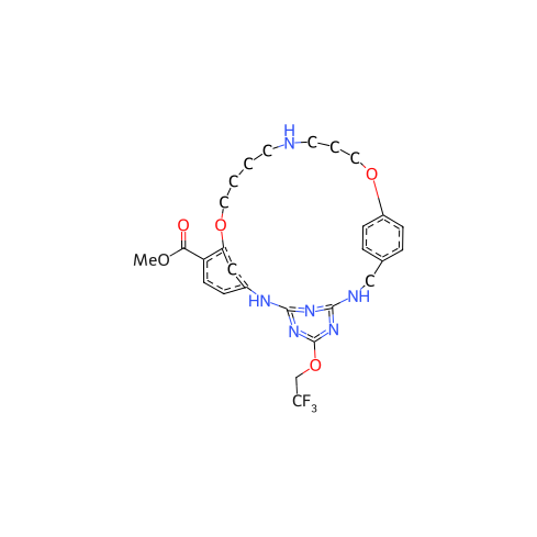 COC(=O)c1ccc2cc1OCCCCNCCCOc1ccc(cc1)CNc1nc(nc(OCC(F)(F)F)n1)N2